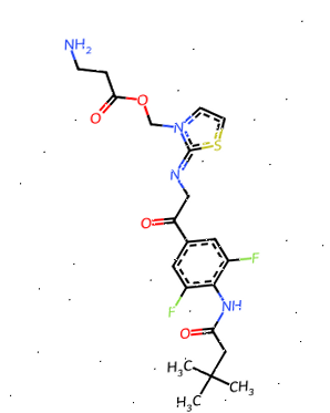 CC(C)(C)CC(=O)Nc1c(F)cc(C(=O)C/N=c2\sccn2COC(=O)CCN)cc1F